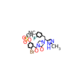 Cc1ncc(C(Cc2ccc(C#N)c(F)c2)N2CCN(C(=O)c3cc(OS(C)(=O)=O)ccc3Br)C(=O)C2)[nH]1